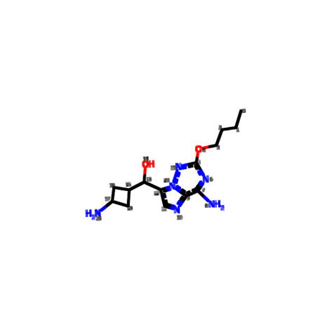 CCCCOc1nc(N)c2ncc(C(O)C3CC(N)C3)n2n1